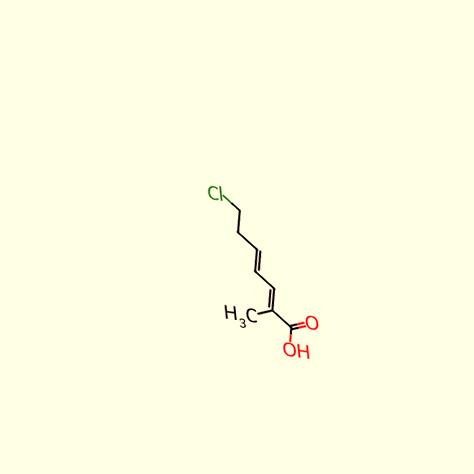 C/C(=C\C=C\CCCl)C(=O)O